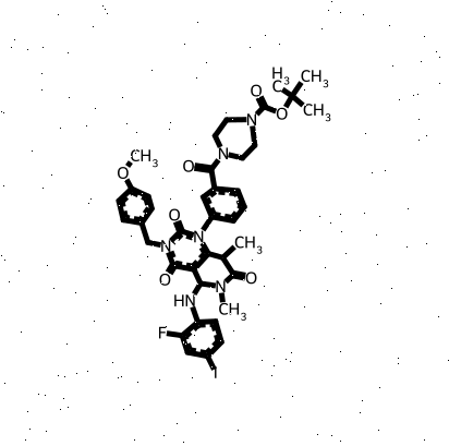 COc1ccc(Cn2c(=O)c3c(n(-c4cccc(C(=O)N5CCN(C(=O)OC(C)(C)C)CC5)c4)c2=O)C(C)C(=O)N(C)C3Nc2ccc(I)cc2F)cc1